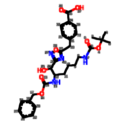 CC(C)(C)OC(=O)NCCCCC(NC(=O)OCc1ccccc1)C(O)c1noc(Cc2ccc(C(=O)O)cc2)n1